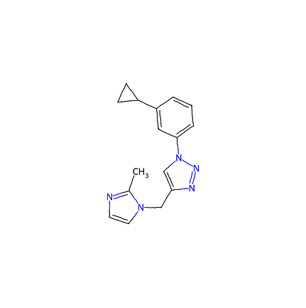 Cc1nccn1Cc1cn(-c2cccc(C3CC3)c2)nn1